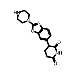 O=C1CCC(c2ccc3nc(N4CCNCC4)oc3c2)C(=O)N1